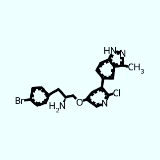 Cc1n[nH]c2ccc(-c3cc(OC[C@@H](N)Cc4ccc(Br)cc4)cnc3Cl)cc12